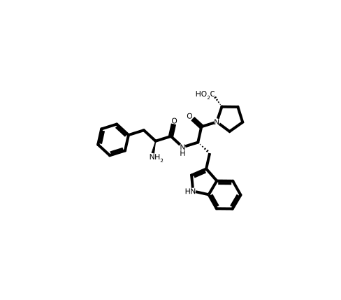 N[C@@H](Cc1ccccc1)C(=O)N[C@@H](Cc1c[nH]c2ccccc12)C(=O)N1CCC[C@H]1C(=O)O